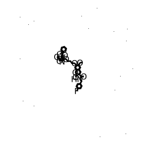 COc1cc2cc(C(=O)NCc3ccc(F)cc3)c(=O)oc2cc1OCCCOc1no[n+]([O-])c1S(=O)(=O)c1ccccc1